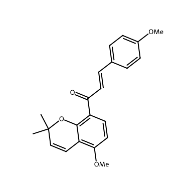 COc1ccc(C=CC(=O)c2ccc(OC)c3c2OC(C)(C)C=C3)cc1